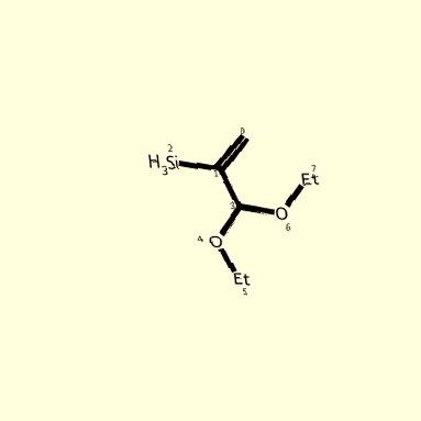 C=C([SiH3])C(OCC)OCC